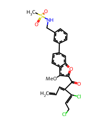 C=CC=C(C(=O)c1oc2cc(-c3cccc(CNS(C)(=O)=O)c3)ccc2c1OC)C(Cl)=CCCl